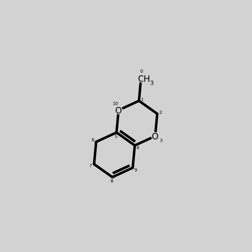 CC1COC2=C(CCC=C2)O1